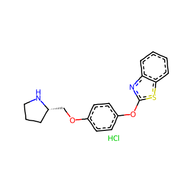 Cl.c1ccc2sc(Oc3ccc(OC[C@@H]4CCCN4)cc3)nc2c1